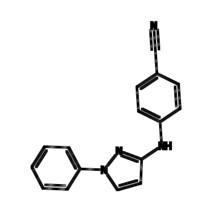 N#Cc1ccc(Nc2ccn(-c3ccccc3)n2)cc1